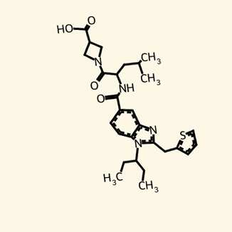 CCC(CC)n1c(Cc2cccs2)nc2cc(C(=O)NC(CC(C)C)C(=O)N3CC(C(=O)O)C3)ccc21